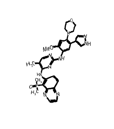 COc1cc(N2CCOCC2)c(-c2cn[nH]c2)cc1Nc1ncc(C)c(Nc2ccc3nccnc3c2P(C)(C)=O)n1